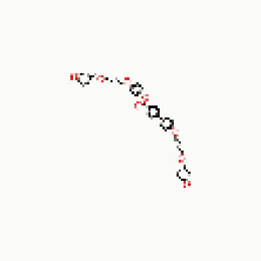 O=C(Oc1ccc(OCCCCOCC2CCC3OC3C2)cc1)c1ccc(-c2ccc(OCCCCOCC3CCC4OC4C3)cc2)cc1